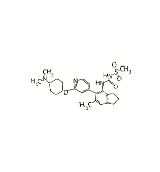 Cc1cc2c(c(NC(=O)NS(C)(=O)=O)c1-c1ccnc(OC3CCC(N(C)C)CC3)c1)CCC2